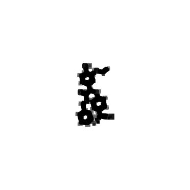 CCOc1cc(C(Oc2ccc(C(=N)N)cc2)C(=O)NCc2ccccc2)ccc1O